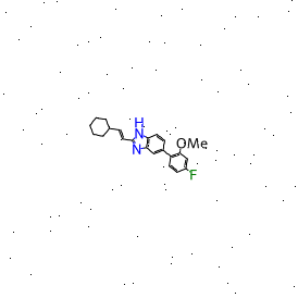 COc1cc(F)ccc1-c1ccc2[nH]c(C=CC3CCCCC3)nc2c1